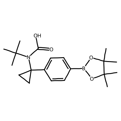 CC(C)(C)N(C(=O)O)C1(c2ccc(B3OC(C)(C)C(C)(C)O3)cc2)CC1